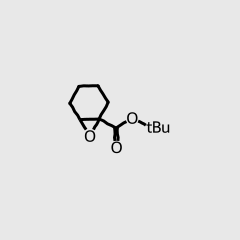 CC(C)(C)OC(=O)C12CCCCC1O2